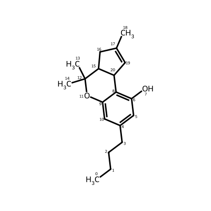 CCCCc1cc(O)c2c(c1)OC(C)(C)C1CC(C)=CC21